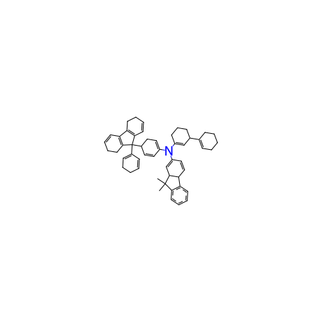 CC1(C)c2ccccc2C2C=CC(N(C3=CCC(C4(C5=CCCC=C5)C5=C(CCC=C5)C5=C4CCC=C5)C=C3)C3=CC(C4=CCCCC4)CCC3)=CC21